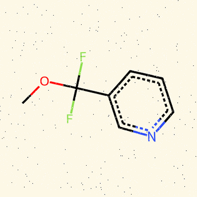 COC(F)(F)c1cccnc1